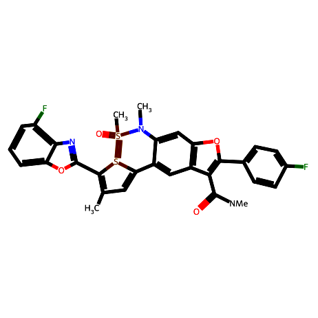 CNC(=O)c1c(-c2ccc(F)cc2)oc2cc3c(cc12)C1=CC(C)=C(c2nc4c(F)cccc4o2)S1=S(C)(=O)N3C